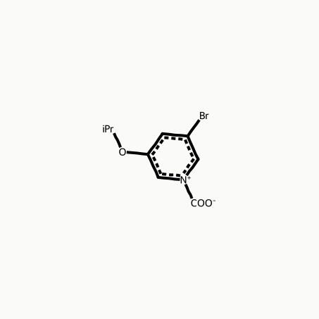 CC(C)Oc1cc(Br)c[n+](C(=O)[O-])c1